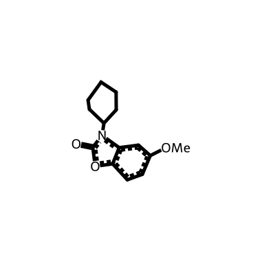 COc1ccc2oc(=O)n(C3CCCCC3)c2c1